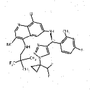 Cc1nc(F)ccc1[C@H](Nc1cc(Cl)c2ncc(C#N)c(NCC(C)(C)C(F)(F)F)c2c1)c1cn(C2(C(F)F)CC2)nn1